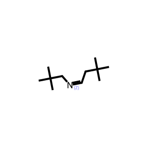 CC(C)(C)C/C=N\CC(C)(C)C